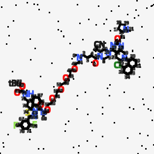 CN(C/C=C/C(=O)N1CCN(c2nc(OC[C@@H]3CCCN3C)nc3c2CCN(c2cccc4cccc(Cl)c24)C3)C[C@@H]1CC#N)CCOCCOCCOCCOCCON(C)C(=O)N1N=C(c2cc(F)ccc2F)SC1(CCCNC(=O)OC(C)(C)C)c1ccccc1